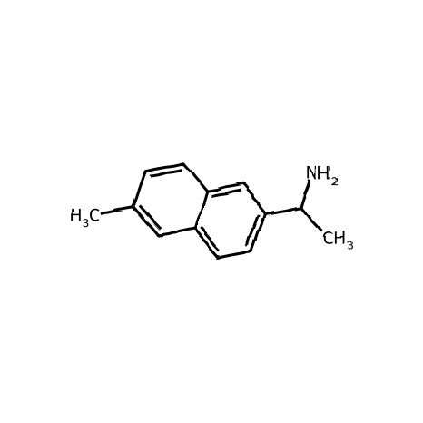 Cc1ccc2cc(C(C)N)ccc2c1